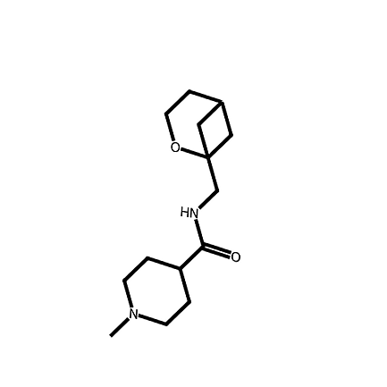 CN1CCC(C(=O)NCC23CC(CCO2)C3)CC1